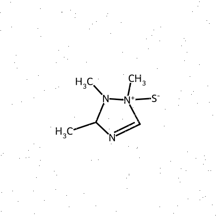 CC1N=C[N+](C)([S-])N1C